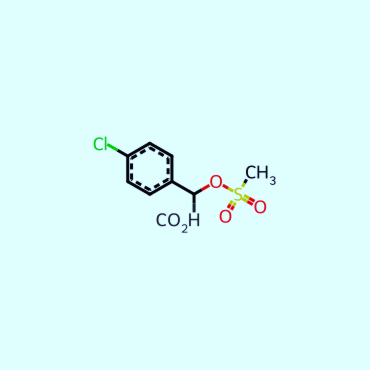 CS(=O)(=O)OC(C(=O)O)c1ccc(Cl)cc1